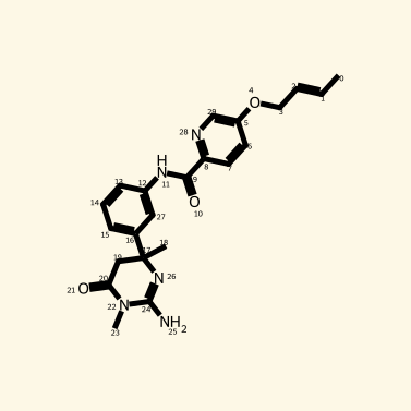 C/C=C/COc1ccc(C(=O)Nc2cccc(C3(C)CC(=O)N(C)C(N)=N3)c2)nc1